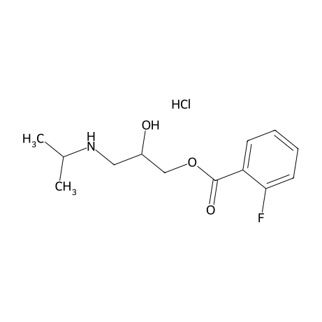 CC(C)NCC(O)COC(=O)c1ccccc1F.Cl